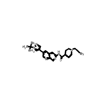 BC(B)(B)n1cc(-c2cnc3cnc(NC(=O)C4CCN(CC(C)C)CC4)cc3c2)cn1